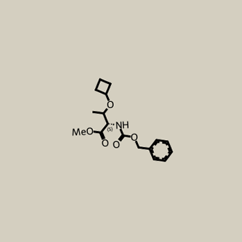 COC(=O)[C@@H](NC(=O)OCc1ccccc1)C(C)OC1CCC1